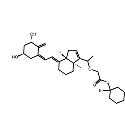 C=C1/C(=C\C=C2/CCC[C@]3(C)C(C(C)OCC(=O)OC4(CC)CCCCC4)=CC[C@@H]23)C[C@@H](O)C[C@@H]1O